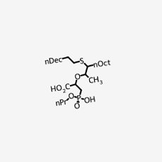 CCCCCCCCCCCCSC(CCCCCCCC)C(C)OC(CP(=O)(O)OCCC)C(=O)O